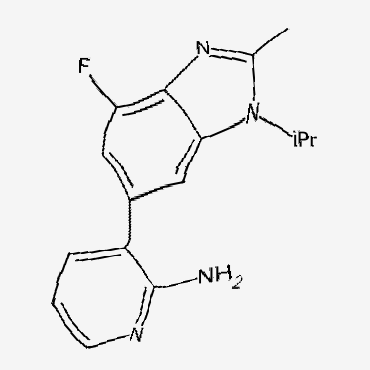 Cc1nc2c(F)cc(-c3cccnc3N)cc2n1C(C)C